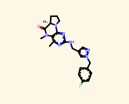 Cc1nc(NCc2cnn(Cc3ccc(F)cc3)c2)nc2c1N(C)C(=O)[C@H]1CCCN21